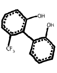 Oc1ccccc1-c1c(O)cccc1C(F)(F)F